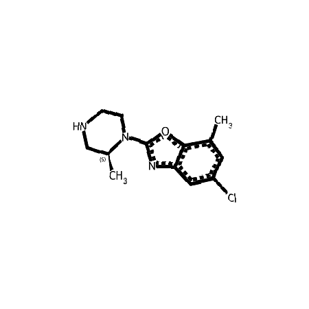 Cc1cc(Cl)cc2nc(N3CCNC[C@@H]3C)oc12